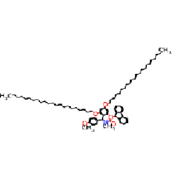 CCCCCCCCCCCCCCCCCCCCCCOc1ccc(C(c2ccc(OC)cc2)N(C)C(=O)OC2c3ccccc3-c3ccccc32)c(OCCCCCCCCCCCCCCCCCCCCCC)c1